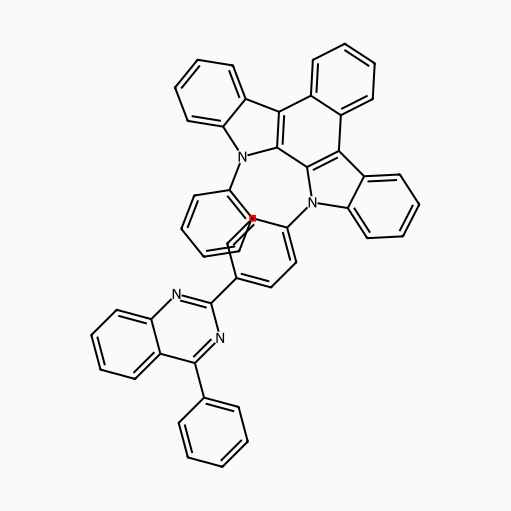 c1ccc(-c2nc(-c3ccc(-n4c5ccccc5c5c6ccccc6c6c7ccccc7n(-c7ccccc7)c6c54)cc3)nc3ccccc23)cc1